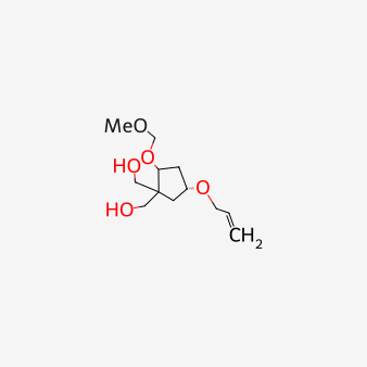 C=CCO[C@H]1CC(OCOC)C(CO)(CO)C1